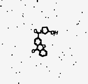 O=C(c1ccc2c(=O)c3ccccc3oc2c1)N1CCC(O)C1